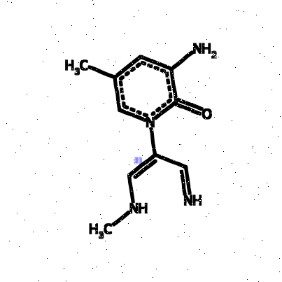 CN/C=C(\C=N)n1cc(C)cc(N)c1=O